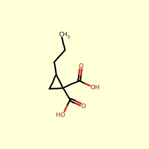 CCCC1CC1(C(=O)O)C(=O)O